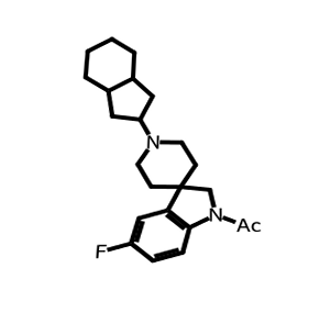 CC(=O)N1CC2(CCN(C3CC4CCCCC4C3)CC2)c2cc(F)ccc21